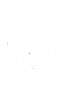 Nc1c(S(=O)(=O)O)cc(Nc2ccc(Oc3ccccc3)c(S(=O)(=O)O)c2)c2c1C(=O)c1ccccc1C2=O.[Na].[Na]